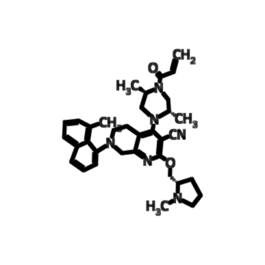 C=CC(=O)N1C[C@H](C)N(c2c(C#N)c(OC[C@@H]3CCCN3C)nc3c2CCN(c2cccc4cccc(C)c24)C3)C[C@H]1C